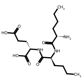 CCCC[C@H](NC(=O)[C@@H](N)CCCC)C(=O)N[C@@H](CCC(=O)O)C(=O)O